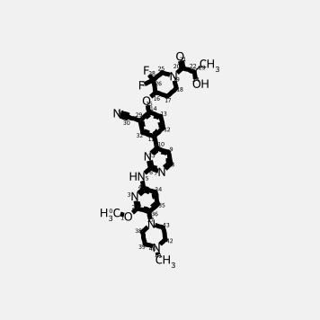 COc1nc(Nc2nccc(-c3ccc(OC4CCN(C(=O)[C@H](C)O)CC4(F)F)c(C#N)c3)n2)ccc1N1CCN(C)CC1